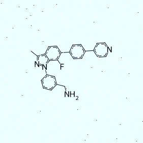 Cc1nn(-c2cccc(CN)c2)c2c(F)c(-c3ccc(-c4ccncc4)cc3)ccc12